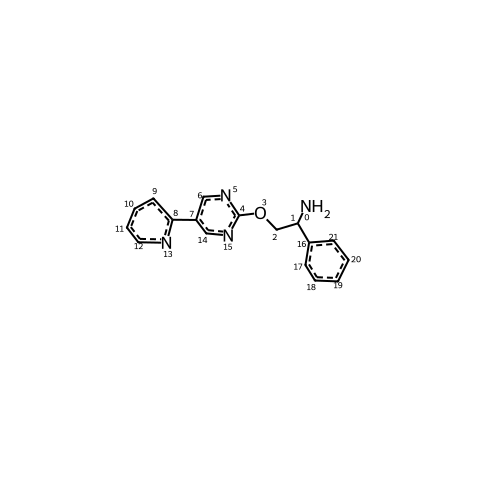 NC(COc1ncc(-c2ccccn2)cn1)c1ccccc1